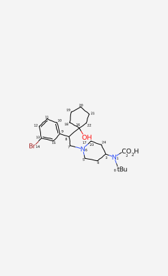 CC(C)(C)N(C(=O)O)C1CCN(CC(c2cccc(Br)c2)C2(O)CCCCC2)CC1